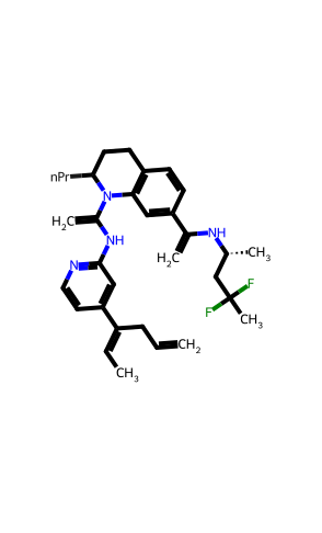 C=CC/C(=C\C)c1ccnc(NC(=C)N2c3cc(C(=C)N[C@H](C)CC(C)(F)F)ccc3CCC2CCC)c1